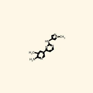 Cc1cc(-c2ccnc(Nc3cnn(C)c3)n2)cnc1N